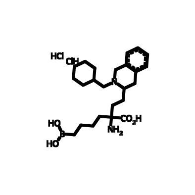 Cl.Cl.NC(CCCCB(O)O)(CCC1Cc2ccccc2CN1CC1CCCCC1)C(=O)O